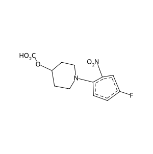 O=C(O)OC1CCN(c2ccc(F)cc2[N+](=O)[O-])CC1